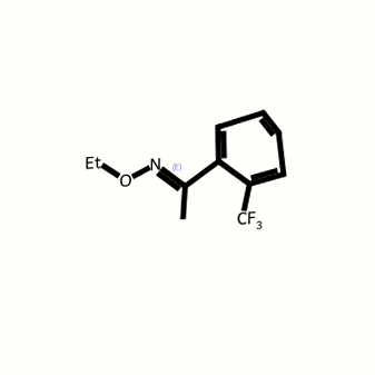 CCO/N=C(\C)c1ccccc1C(F)(F)F